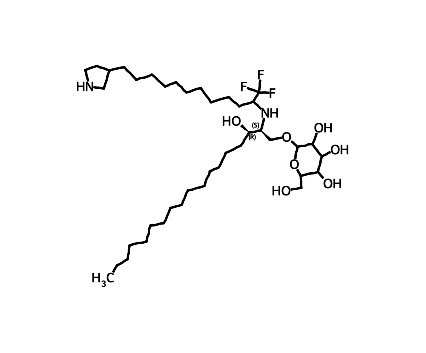 CCCCCCCCCCCCCCC[C@@H](O)[C@H](COC1OC(CO)C(O)C(O)C1O)NC(CCCCCCCCCCC1CCNC1)C(F)(F)F